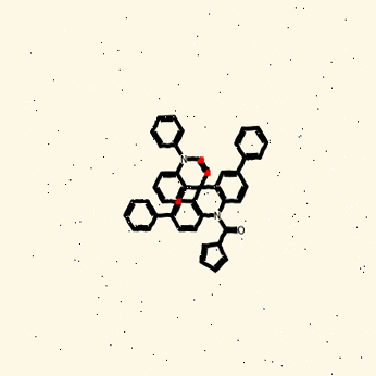 O=C(C1C=CC=C1)N1c2ccc(-c3ccccc3)cc2C2(c3cc(-c4ccccc4)ccc31)c1ccccc1N(c1ccccc1)c1ccccc12